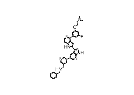 CN(C)CCOc1cc(F)cc(-c2nccc3[nH]c(-c4n[nH]c5ncc(-c6cncc(CNCc7ccccc7)c6)cc45)cc23)c1